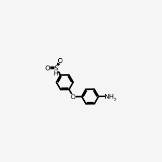 Nc1ccc(Oc2ccc([SH](=O)=O)cc2)cc1